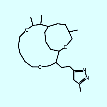 CC1=NN=C(CCC2CCCCCCCCC(C)C(C)C3CCCC2CCC(C)CC3)C1